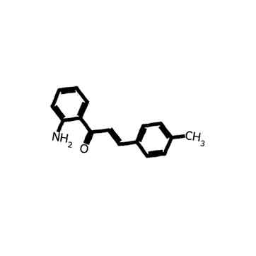 Cc1ccc(/C=C/C(=O)c2ccccc2N)cc1